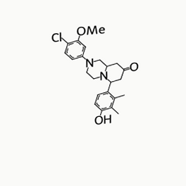 COc1cc(N2CCN3C(CC(=O)CC3c3ccc(O)c(C)c3C)C2)ccc1Cl